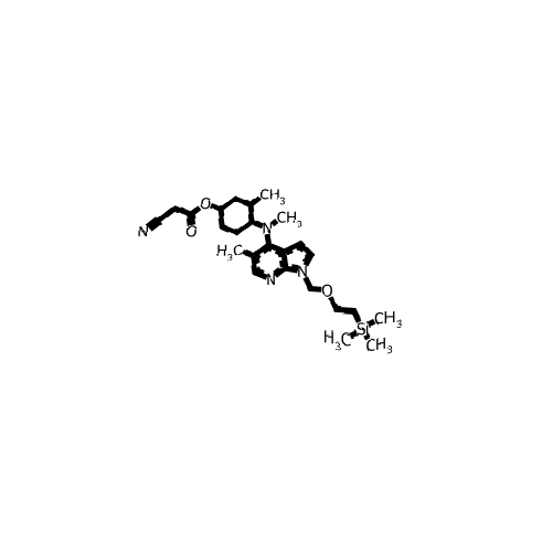 Cc1cnc2c(ccn2COCC[Si](C)(C)C)c1N(C)C1CCC(OC(=O)CC#N)CC1C